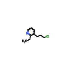 CCc1ncccc1CCCCl